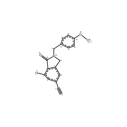 C#Cc1cc(Cl)c2c(c1)CN(Cc1ccc(OC(F)(F)F)cc1)C2=O